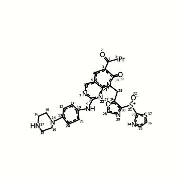 CC(C)C(=O)c1cc2cnc(Nc3ccc(N4CCNCC4)cc3)nc2n(Cc2ocnc2[S+]([O-])c2nccs2)c1=O